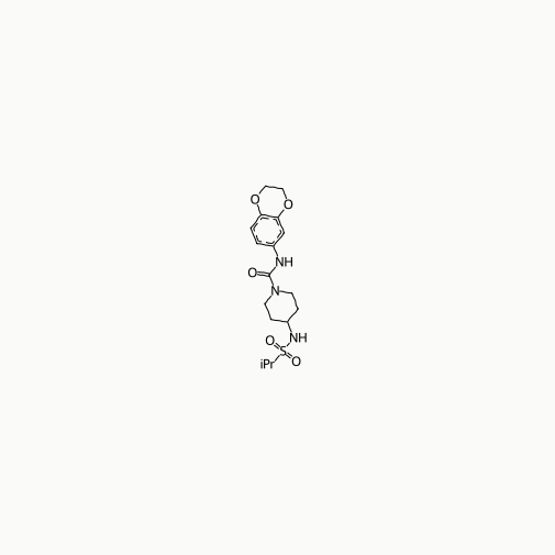 CC(C)S(=O)(=O)NC1CCN(C(=O)Nc2ccc3c(c2)OCCO3)CC1